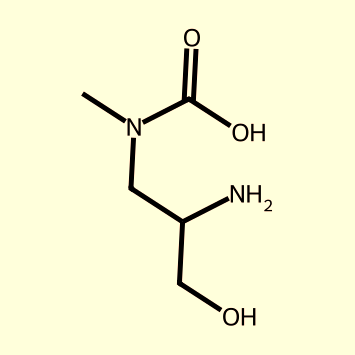 CN(CC(N)CO)C(=O)O